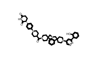 O=C1CC[C@H](c2ccc(N3CCC(C(=O)N4CCC5(CC4)CN(CC4(c6ccccc6)CCN(c6cnnc(-c7ccccc7O)c6)CC4)C5)CC3)cc2)C(=O)N1